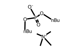 CCCCOP(=O)([O-])OCCCC.C[N+](C)(C)C